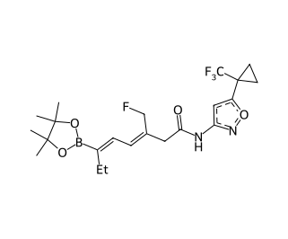 CC/C(=C\C=C(/CF)CC(=O)Nc1cc(C2(C(F)(F)F)CC2)on1)B1OC(C)(C)C(C)(C)O1